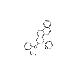 C1=CCOC=C1.FC(F)(F)c1ccccc1OC1CCc2c(ccc3c2ccc2ccccc23)C1